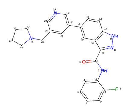 O=C(Nc1ccccc1F)c1n[nH]c2ccc(-c3cncc(CN4CCCC4)c3)cc12